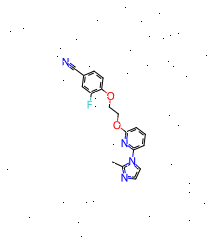 Cc1nccn1-c1cccc(OCCOc2ccc(C#N)cc2F)n1